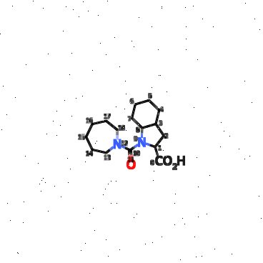 O=C(O)C1CC2CCCCC2N1C(=O)N1CCCCCC1